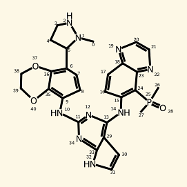 CN1NCCC1c1ccc(Nc2nc(Nc3ccc4nccnc4c3P(C)(C)=O)c3cc[nH]c3n2)c2c1OCCO2